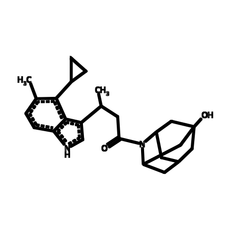 Cc1ccc2[nH]cc(C(C)CC(=O)N3C4CC5CC3CC(O)(C5)C4)c2c1C1CC1